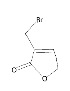 O=C1OCC=C1CBr